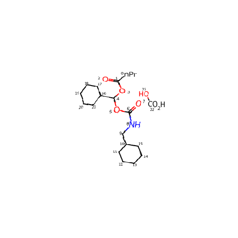 CCCC(=O)OC(OC(=O)NCC1CCCCC1)C1CCCCC1.O=C(O)O